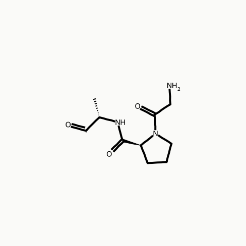 C[C@@H]([C]=O)NC(=O)[C@@H]1CCCN1C(=O)CN